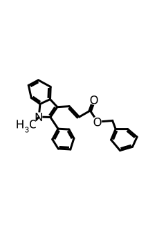 Cn1c(-c2ccccc2)c(/C=C/C(=O)OCc2ccccc2)c2ccccc21